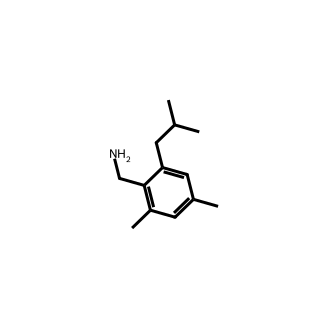 Cc1cc(C)c(CN)c(CC(C)C)c1